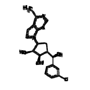 Cc1ncnc2c1ccn2C1CC([C@@H](O)c2cccc(Cl)c2)[C@@H](O)[C@H]1O